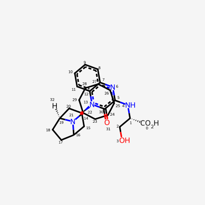 O=C(O)[C@H](CO)Nc1nc2ccccc2n([C@H]2CC3CC[C@@H](C2)N3C2CCCCCCC2)c1=O